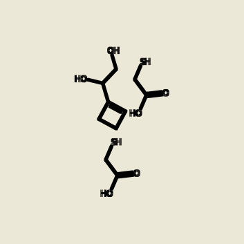 O=C(O)CS.O=C(O)CS.OCC(O)C1=CCC1